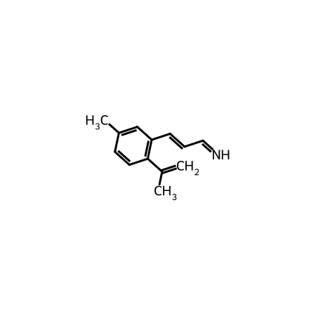 C=C(C)c1ccc(C)cc1/C=C/C=N